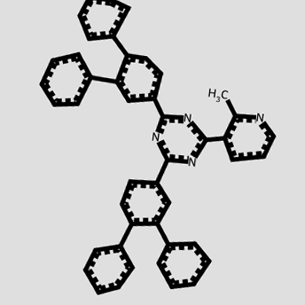 Cc1ncccc1-c1nc(-c2ccc(-c3ccccc3)c(-c3ccccc3)c2)nc(-c2ccc(-c3ccccc3)c(-c3ccccc3)c2)n1